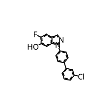 Oc1cc2c(cnn2-c2ccc(-c3cccc(Cl)c3)cc2)cc1F